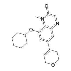 Cn1c(=O)cnc2cc(C3=CCOCC3)cc(OC3CCCCC3)c21